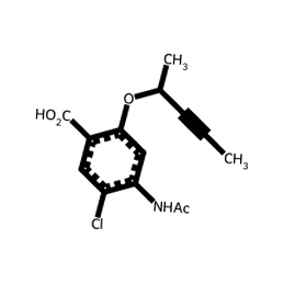 CC#CC(C)Oc1cc(NC(C)=O)c(Cl)cc1C(=O)O